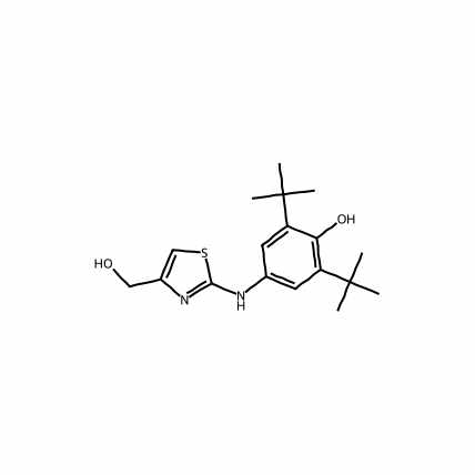 CC(C)(C)c1cc(Nc2nc(CO)cs2)cc(C(C)(C)C)c1O